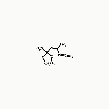 COC([SiH3])(CC(C)N=C=O)OC